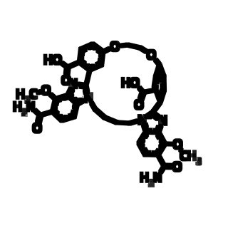 COc1c(C(N)=O)ccc2c1nc1n2CCCCn2c(nc3c(OC)c(C(N)=O)ccc32)-c2cc(ccc2C(=O)O)OCCOc2ccc-1c(C(=O)O)c2